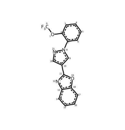 FC(F)(F)Oc1ccccc1-n1cc(-c2nc3ccccc3o2)cn1